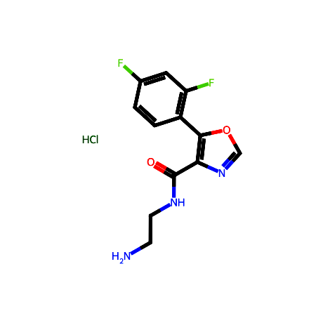 Cl.NCCNC(=O)c1ncoc1-c1ccc(F)cc1F